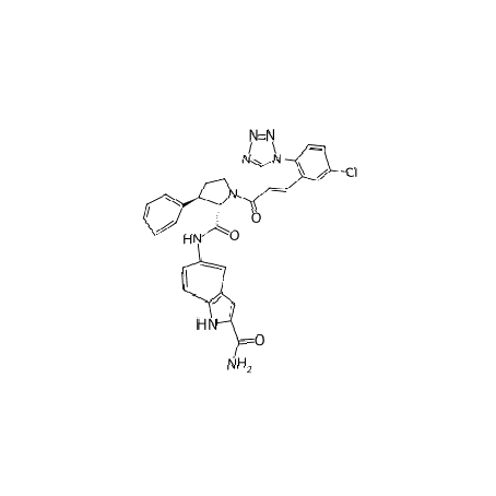 NC(=O)c1cc2cc(NC(=O)[C@@H]3[C@@H](c4ccccc4)CCN3C(=O)/C=C/c3cc(Cl)ccc3-n3cnnn3)ccc2[nH]1